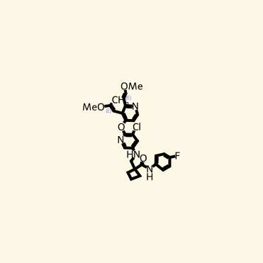 CO/C=C/c1nccc(Oc2ncc(NCC3(C(=O)Nc4ccc(F)cc4)CCC3)cc2Cl)c1/C=C(\C)OC